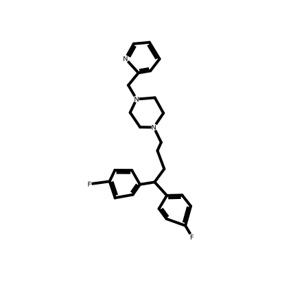 Fc1ccc(C(CCCN2CCN(Cc3ccccn3)CC2)c2ccc(F)cc2)cc1